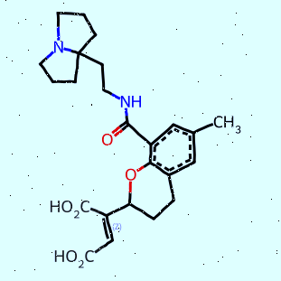 Cc1cc2c(c(C(=O)NCCC34CCCN3CCC4)c1)OC(/C(=C/C(=O)O)C(=O)O)CC2